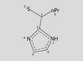 CCCC([S])c1ncc[nH]1